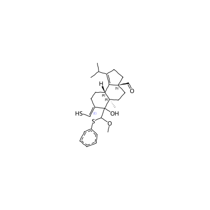 COC(Sc1ccccc1)C1(O)/C(=C/S)CC[C@@H]2C3=C(C(C)C)CC[C@]3(C=O)CC[C@]21C